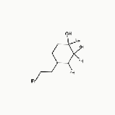 [2H]C1C(CCC(C)C)CCC([2H])(O)C1([2H])[2H]